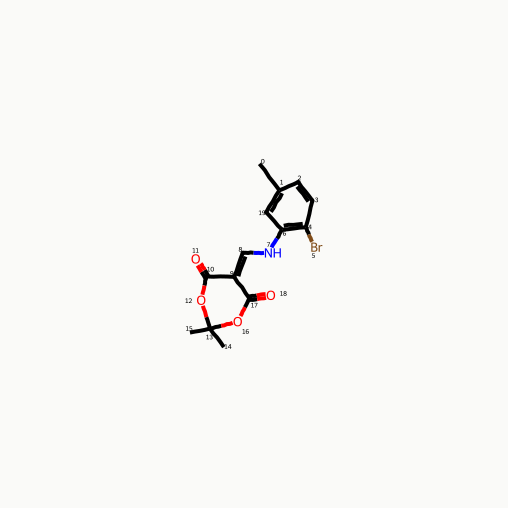 Cc1ccc(Br)c(NC=C2C(=O)OC(C)(C)OC2=O)c1